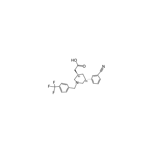 N#Cc1cccc([C@H]2C[C@H](CC(=O)O)CN(Cc3ccc(C(F)(F)F)cc3)C2)c1